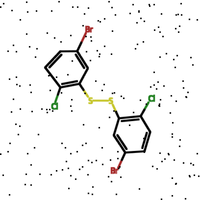 Clc1ccc(Br)cc1SSc1cc(Br)ccc1Cl